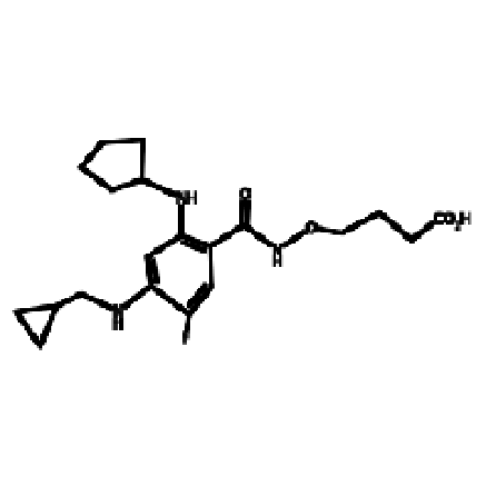 O=C(O)CCCONC(=O)c1cc(F)c(NCC2CC2)cc1NC1CCCC1